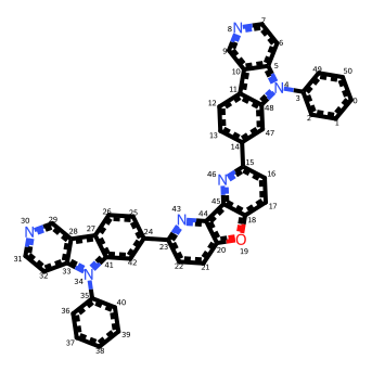 c1ccc(-n2c3ccncc3c3ccc(-c4ccc5oc6ccc(-c7ccc8c9cnccc9n(-c9ccccc9)c8c7)nc6c5n4)cc32)cc1